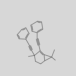 CC1(C#Cc2ccccc2)CCC2C(=C1C#Cc1ccccc1)C2(C)C